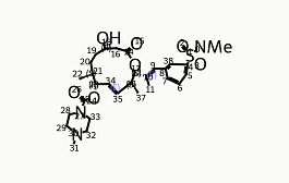 CNS(=O)(=O)c1cccc(/C=C(\C)[C@H]2OC(=O)C[C@H](O)CC[C@H](C)[C@@H](OC(=O)N3CCN(C)CC3)/C=C/[C@@H]2C)c1